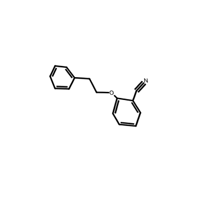 N#Cc1ccccc1OCCc1ccccc1